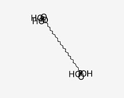 O=P(O)(O)CCCCCCCCCCCCCCCCCCCCCCCCCCCCOP(=O)(O)O